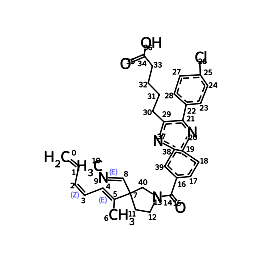 C=C/C=C\C=C(/C)C1(/C=N/C)CCN(C(=O)c2ccc3nc(-c4ccc(Cl)cc4)c(CCCCC(=O)O)nc3c2)C1